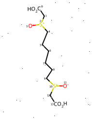 O=C(O)C[S+]([O-])CCCCCC[S+]([O-])CC(=O)O